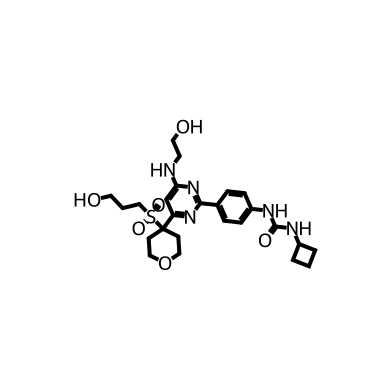 O=C(Nc1ccc(-c2nc(NCCO)cc(C3(S(=O)(=O)CCCO)CCOCC3)n2)cc1)NC1CCC1